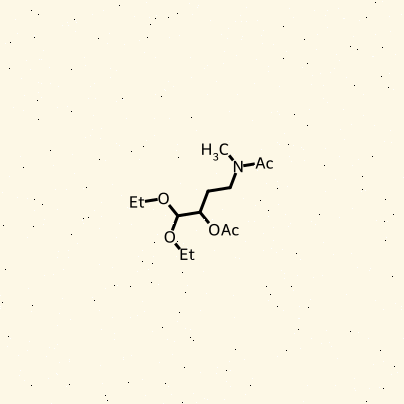 CCOC(OCC)C(CCN(C)C(C)=O)OC(C)=O